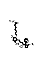 COC(=O)CCCCCC[C@H]1C(=O)C[C@@H](O)[C@@H]1C=CCC(O)C1(c2cccs2)CCC1C